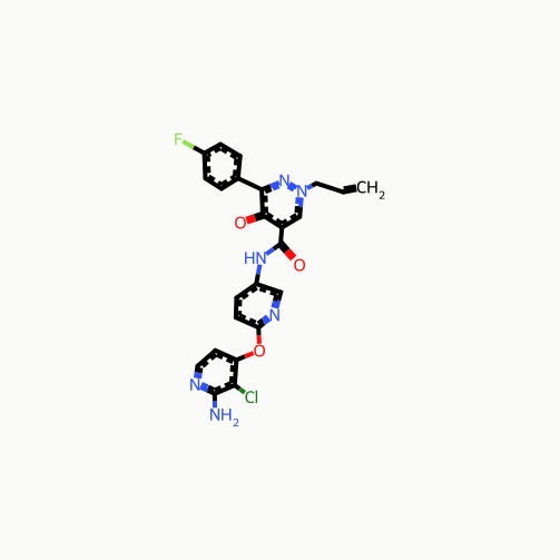 C=CCn1cc(C(=O)Nc2ccc(Oc3ccnc(N)c3Cl)nc2)c(=O)c(-c2ccc(F)cc2)n1